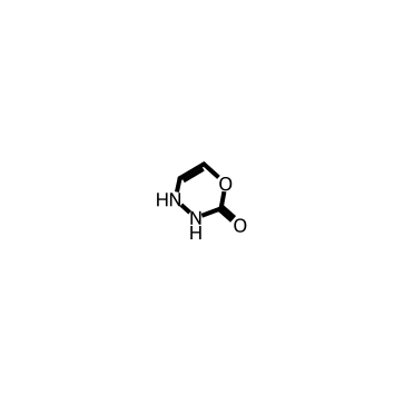 O=C1NNC=CO1